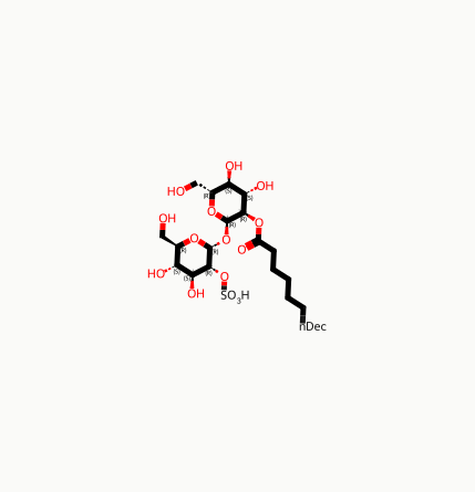 CCCCCCCCCCCCCCCC(=O)O[C@H]1[C@@H](O[C@H]2O[C@H](CO)[C@@H](O)[C@H](O)[C@H]2OS(=O)(=O)O)O[C@H](CO)[C@@H](O)[C@@H]1O